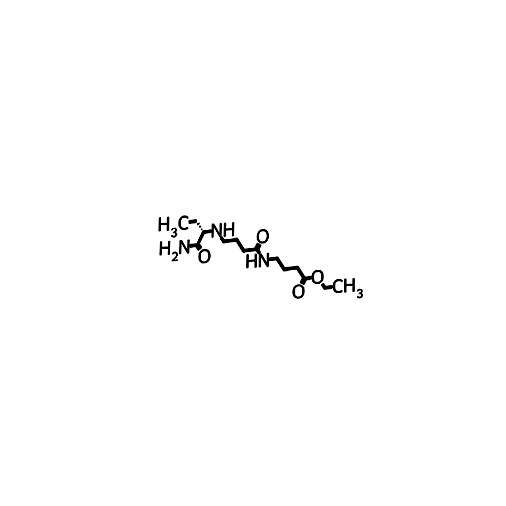 CCOC(=O)CCCNC(=O)CCCN[C@@H](CC)C(N)=O